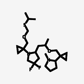 CC(CC1CC(F)(F)CN1C1(COCSC(C)C)CC1)OCC1(C2CCCN2C)CC1